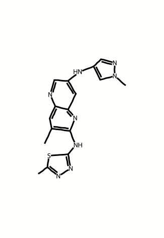 Cc1nnc(Nc2nc3cc(Nc4cnn(C)c4)cnc3cc2C)s1